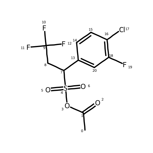 CC(=O)OS(=O)(=O)C(CC(F)(F)F)c1ccc(Cl)c(F)c1